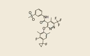 Cc1cc(C2(F)CC2)c(F)c(C)c1Oc1nnc(C(F)(F)F)c(C)c1C(=O)Nc1cccc(S(C)(=O)=O)c1